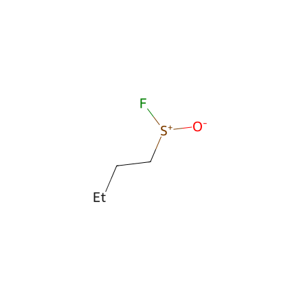 CCCC[S+]([O-])F